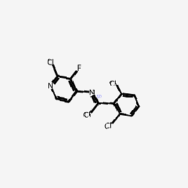 Fc1c(/N=C(\Cl)c2c(Cl)cccc2Cl)ccnc1Cl